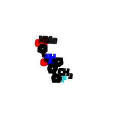 CNS(=O)(=O)c1ccc(CNC(=O)N2CC3(CCCC3)c3cc(-c4cccc(F)c4C)ccc32)cc1